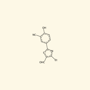 CCc1nc(-c2ccc(O)c(C#N)c2)sc1C=O